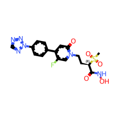 CS(=O)(=O)[C@H](CCn1cc(F)c(-c2ccc(-n3ncnn3)cc2)cc1=O)C(=O)NO